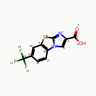 O=C(O)c1cn2c(n1)sc1cc(C(F)(F)F)ccc12